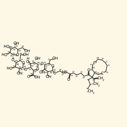 C=C(C)C(CCCC)(C(=O)CCCCC(=O)NCCO[C@@H]1OC(CO)[C@@H](O[C@@H]2OC(C(=O)O)[C@@H](O[C@H]3OC(CO)[C@H](O[C@H]4OC(CO)[C@@H](O)C(O)C4O)C(O)C3O)C(O)[C@@H]2O)C(O)C1O)C1CCCCCCCCCC1